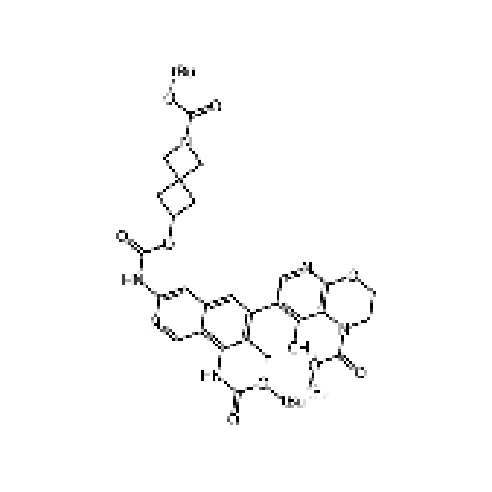 Cc1c(-c2cc3cc(NC(=O)OC4CC5(C4)CN(C(=O)OC(C)(C)C)C5)ncc3c(NC(=O)OC(C)(C)C)c2F)cnc2c1N(C(=O)OC(C)(C)C)CCO2